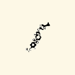 Cc1ccc(S(=O)(=O)N2CCN3C[C@@H](Oc4cnc(C5CC5)cn4)C[C@H]3C2)cc1F